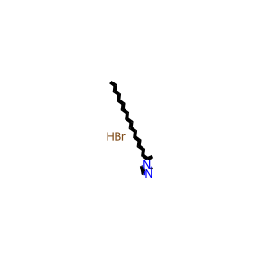 Br.CCCCCCCCCCCCCCCCCC(C)n1ccnc1